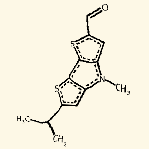 CC(C)c1cc2c(s1)c1sc(C=O)cc1n2C